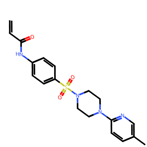 C=CC(=O)Nc1ccc(S(=O)(=O)N2CCN(c3ccc(C)cn3)CC2)cc1